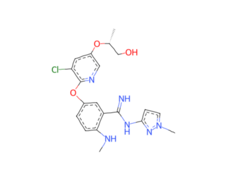 CNc1ccc(Oc2ncc(O[C@H](C)CO)cc2Cl)cc1C(=N)Nc1ccn(C)n1